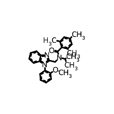 COc1ccccc1-n1c(CN(C(=O)c2c(C)cc(C)cc2C)C(C)C)nc2ccccc21